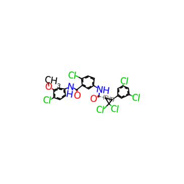 COc1cc(NC(=O)c2cc(NC(=O)[C@@H]3[C@@H](c4cc(Cl)cc(Cl)c4)C3(Cl)Cl)ccc2Cl)ccc1Cl